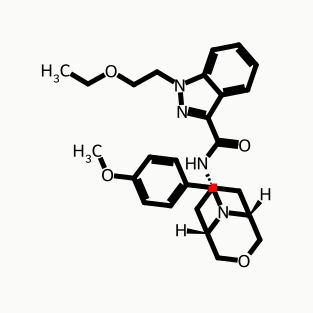 CCOCCn1nc(C(=O)N[C@H]2C[C@H]3COC[C@@H](C2)N3Cc2ccc(OC)cc2)c2ccccc21